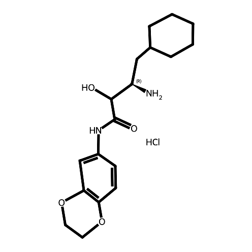 Cl.N[C@H](CC1CCCCC1)C(O)C(=O)Nc1ccc2c(c1)OCCO2